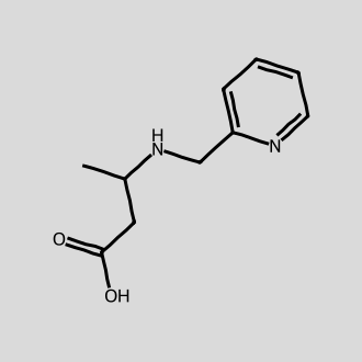 CC(CC(=O)O)NCc1ccccn1